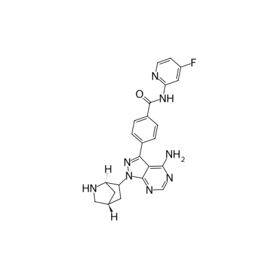 Nc1ncnc2c1c(-c1ccc(C(=O)Nc3cc(F)ccn3)cc1)nn2C1C[C@@H]2CN[C@@H]1C2